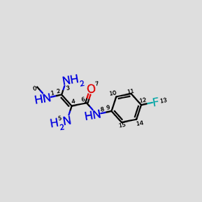 CN/C(N)=C(\N)C(=O)Nc1ccc(F)cc1